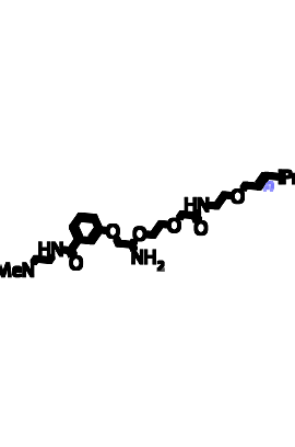 CNCCNC(=O)c1cccc(OCC(N)OCCOCC(=O)NCCOC/C=C/C(C)C)c1